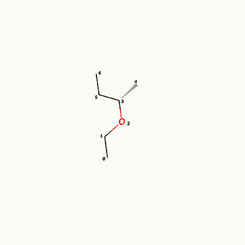 CCO[C@@H](C)CC